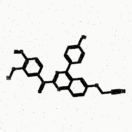 C#CCOc1ccc2nc(C(=O)c3ccc(OC)c(OCC)c3)nc(-c3ccc(C(C)C)cc3)c2c1